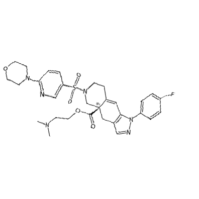 CN(C)CCOC(=O)[C@]12Cc3cnn(-c4ccc(F)cc4)c3C=C1CCN(S(=O)(=O)c1ccc(N3CCOCC3)nc1)C2